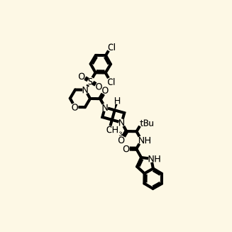 CC(C)(C)C(NC(=O)c1cc2ccccc2[nH]1)C(=O)N1C[C@H]2N(C(=O)C3COCCN3S(=O)(=O)c3ccc(Cl)cc3Cl)CC21C